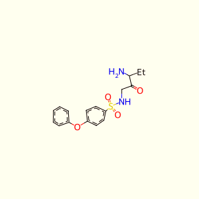 CCC(N)C(=O)CNS(=O)(=O)c1ccc(Oc2ccccc2)cc1